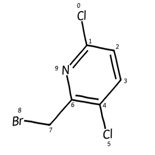 Clc1ccc(Cl)c(CBr)n1